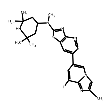 Cc1cn2cc(-c3cc4sc(N(C)C5CC(C)(C)NC(C)(C)C5)nc4nn3)cc(F)c2n1